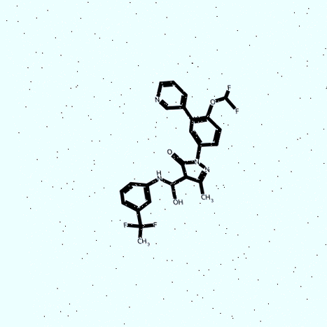 CC1=NN(c2ccc(OC(F)F)c(-c3cccnc3)c2)C(=O)C1C(O)Nc1cccc(C(C)(F)F)c1